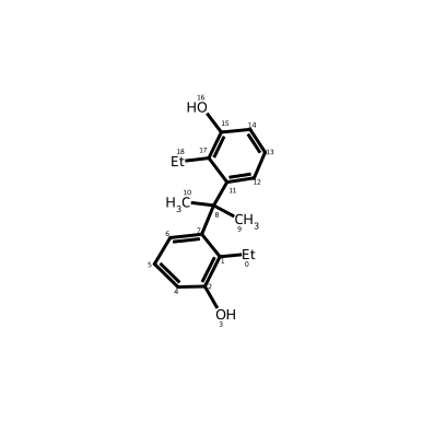 CCc1c(O)cccc1C(C)(C)c1cccc(O)c1CC